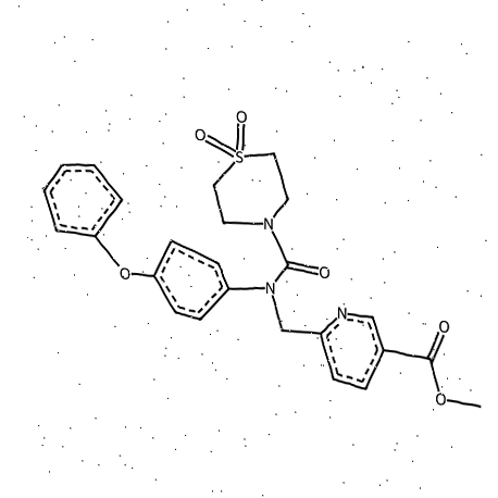 COC(=O)c1ccc(CN(C(=O)N2CCS(=O)(=O)CC2)c2ccc(Oc3ccccc3)cc2)nc1